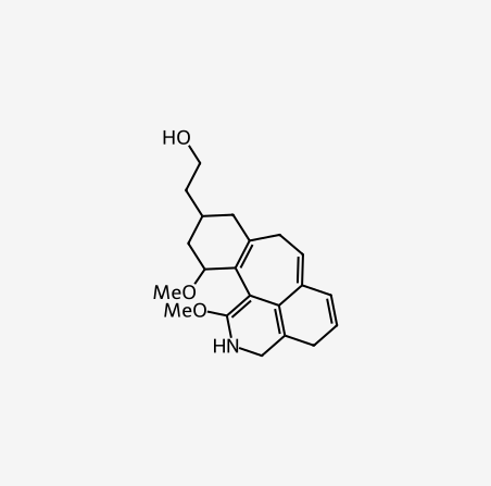 COC1=C2C3=C(CC=CC3=CCC3=C2C(OC)CC(CCO)C3)CN1